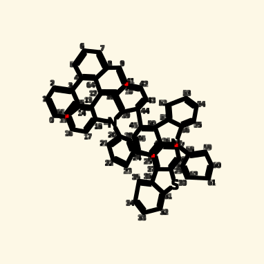 c1ccc(-c2cccc3cccc(-c4ccccc4N(c4cccc(-c5cccc6sc7ccccc7c56)c4)c4ccccc4-c4cccc5c4c4ccccc4n5-c4ccccc4)c23)cc1